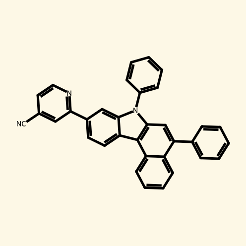 N#Cc1ccnc(-c2ccc3c4c5ccccc5c(-c5ccccc5)cc4n(-c4ccccc4)c3c2)c1